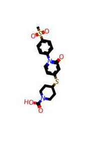 CS(=O)(=O)c1ccc(-n2ccc(SC3CCN(C(=O)O)CC3)cc2=O)cc1